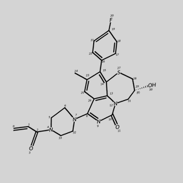 C=CC(=O)N1CCN(c2nc(=O)n3c4c(c(-c5ccc(F)cc5)c(C)cc24)SC[C@H](O)C3)CC1